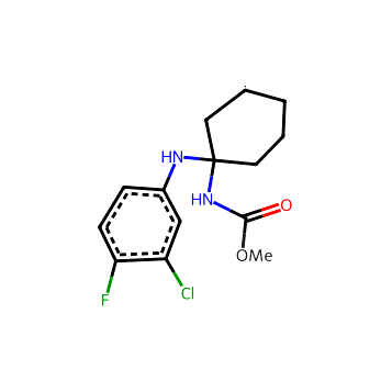 COC(=O)NC1(Nc2ccc(F)c(Cl)c2)C[CH]CCC1